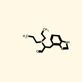 CCCN(CCC)C(C=O)Cc1cccc2[nH]cnc12